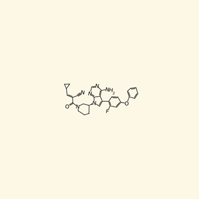 N#C/C(=C\C1CC1)C(=O)N1CCC[C@H](n2cc(-c3ccc(Oc4ccccc4)cc3F)c3c(N)ncnc32)C1